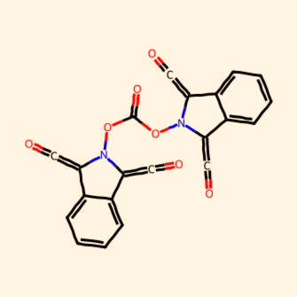 O=C=c1c2ccccc2c(=C=O)n1OC(=O)On1c(=C=O)c2ccccc2c1=C=O